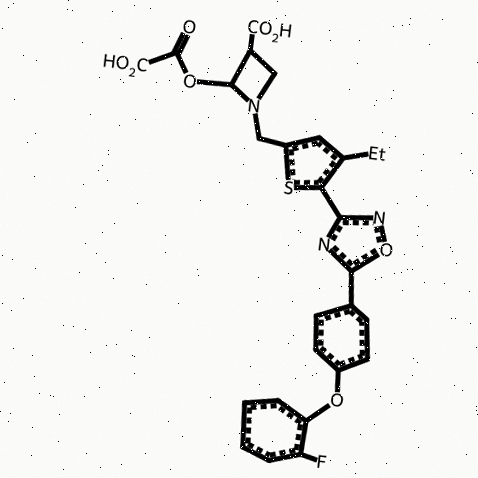 CCc1cc(CN2CC(C(=O)O)C2OC(=O)C(=O)O)sc1-c1noc(-c2ccc(Oc3ccccc3F)cc2)n1